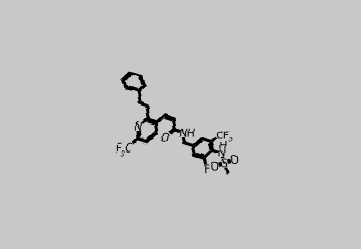 CS(=O)(=O)Nc1c(F)cc(CNC(=O)/C=C\c2ccc(C(F)(F)F)nc2CCc2ccccc2)cc1C(F)(F)F